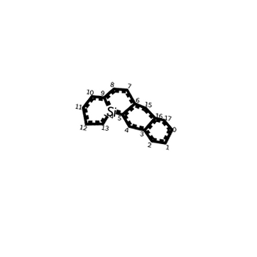 c1ccc2cc3c(ccc4cccc[si]43)cc2c1